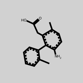 Cc1ccccc1-c1c(N)ccc(C)c1CC(=O)O